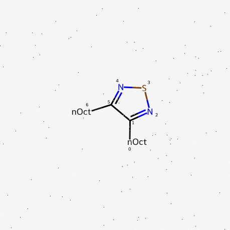 CCCCCCCCc1nsnc1CCCCCCCC